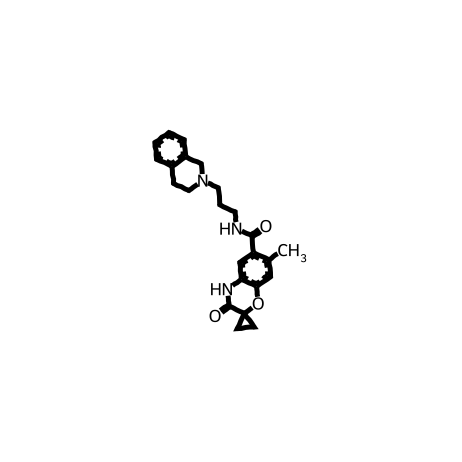 Cc1cc2c(cc1C(=O)NCCCN1CCc3ccccc3C1)NC(=O)C1(CC1)O2